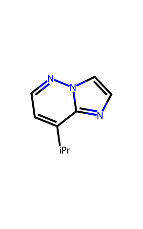 CC(C)c1ccnn2ccnc12